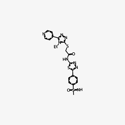 CCn1c(SCC(=O)Nc2nnc(-c3ccc(S(C)(=N)=O)cc3)s2)nnc1-c1ccncc1